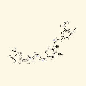 CC#CC[C@@H](C/C=C\NC(=O)[C@@H](NC(=O)\C=C/C=C\C(C)=C\[C@H](C)[C@@H]1CC=C(C)[C@H](O)O1)C(C)(C)C)OC(=O)NC(C)C